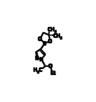 CCOC(C)n1cc(B2OCC(C)(C)O2)cn1